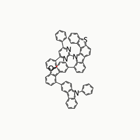 c1ccc(-c2cc(-c3ccccc3)nc(-n3c4c(-c5ccc6oc7cccc(-c8ccc9c(c8)c8ccccc8n9-c8ccccc8)c7c6c5)cccc4c4ccc5sc6ccccc6c5c43)n2)cc1